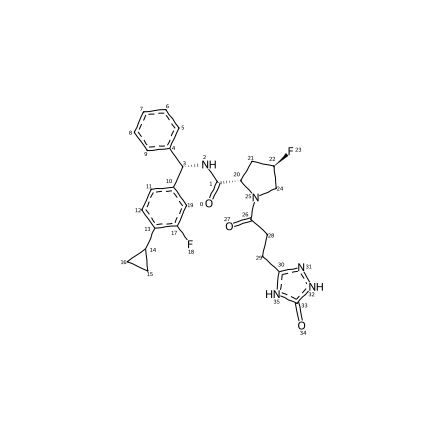 O=C(N[C@@H](c1ccccc1)c1ccc(C2CC2)c(F)c1)[C@@H]1C[C@@H](F)CN1C(=O)CCc1n[nH]c(=O)[nH]1